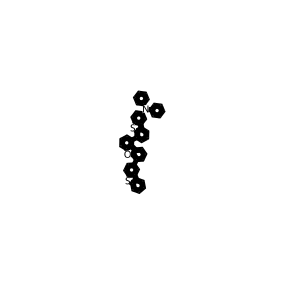 c1ccc(N(c2ccccc2)c2ccc3sc4c(-c5cccc6oc7c(-c8ccc9sc%10ccccc%10c9c8)cccc7c56)cccc4c3c2)cc1